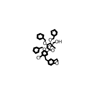 OC[C@@]12CO[C@@](c3ccc(Cl)c(Cc4ccc5c(c4)CCO5)c3)(O1)[C@H](OCc1ccccc1)[C@@H](OCc1ccccc1)[C@@H]2OCc1ccccc1